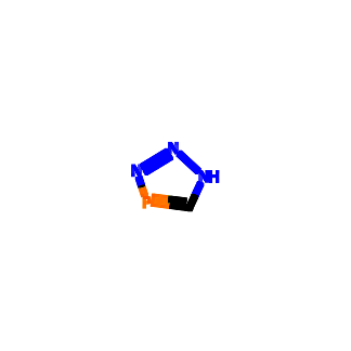 c1[nH]nnp1